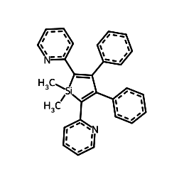 C[Si]1(C)C(c2ccccn2)=C(c2ccccc2)C(c2ccccc2)=C1c1ccccn1